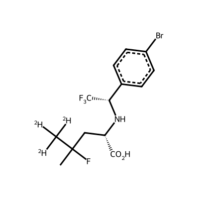 [2H]C([2H])([2H])C(C)(F)C[C@H](N[C@@H](c1ccc(Br)cc1)C(F)(F)F)C(=O)O